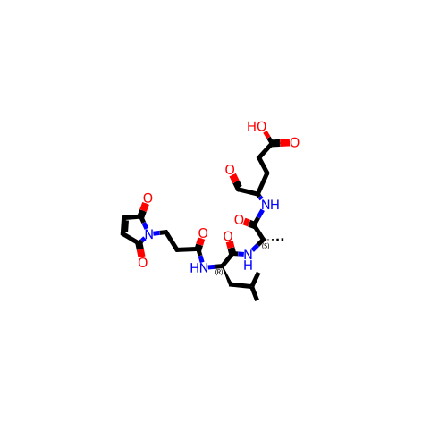 CC(C)C[C@@H](NC(=O)CCN1C(=O)C=CC1=O)C(=O)N[C@@H](C)C(=O)NC(C=O)CCC(=O)O